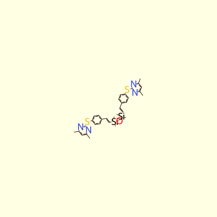 Cc1cc(C)nc(Sc2ccc(C=C[Si](C)(C)O[Si](C)(C)C=Cc3ccc(Sc4nc(C)cc(C)n4)cc3)cc2)n1